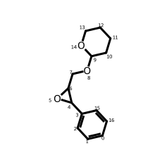 c1ccc(C2OC2COC2CCCCO2)cc1